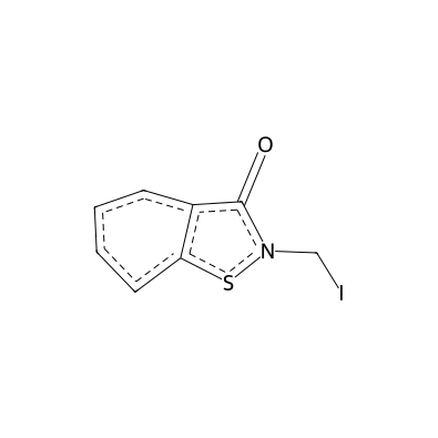 O=c1c2ccccc2sn1CI